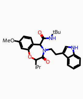 COc1ccc2c(c1)OC(C(C)C)C(=O)N(CCc1c[nH]c3ccccc13)C2C(=O)NC(C)(C)C